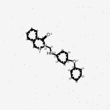 O=c1c2ccccc2cnn1CNc1ccc(Oc2ccccc2)cc1